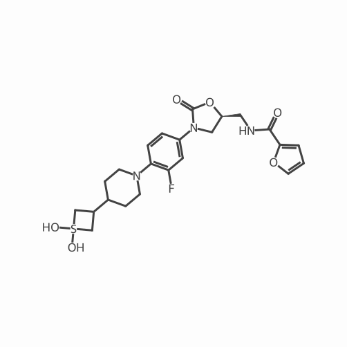 O=C(NC[C@H]1CN(c2ccc(N3CCC(C4CS(O)(O)C4)CC3)c(F)c2)C(=O)O1)c1ccco1